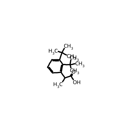 CC(C(=O)O)c1cccc(C(C)(C)C)c1C(C)(C)C